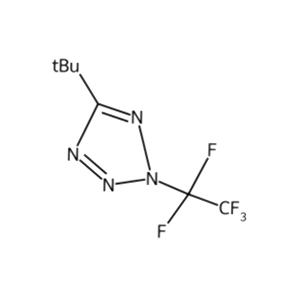 CC(C)(C)c1nnn(C(F)(F)C(F)(F)F)n1